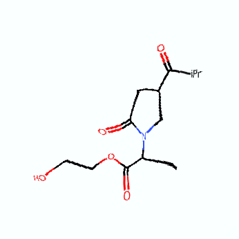 CC(C)C(=O)C1CC(=O)N(C(C)C(=O)OCCO)C1